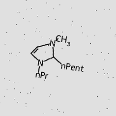 CCCCCC1N(C)C=CN1CCC